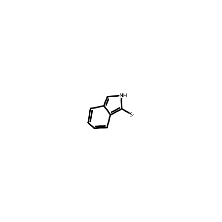 [S]c1[nH]cc2ccccc12